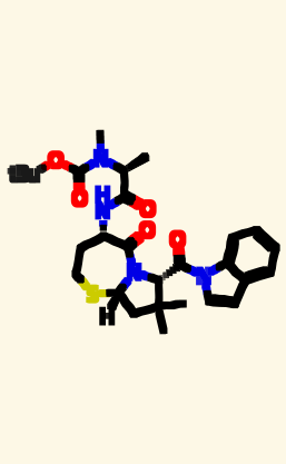 C[C@@H](C(=O)N[C@H]1CCS[C@H]2CC(C)(C)[C@@H](C(=O)n3ccc4ccccc43)N2C1=O)N(C)C(=O)OC(C)(C)C